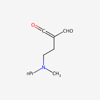 CCCN(C)CCC(=C=O)C=O